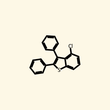 Clc1cccc2sc(-c3ccccc3)c(-c3ccccc3)c12